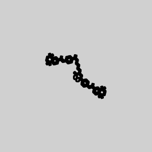 C=C(CCCCCC(CC(=O)c1ccc(/C=C(\C)c2ccc3c(c2)C(C)(C)CCC3(C)C)cc1)C(C)=O)c1ccc(/C=C(\C)c2ccc3c(c2)C(C)(C)CCC3(C)C)cc1